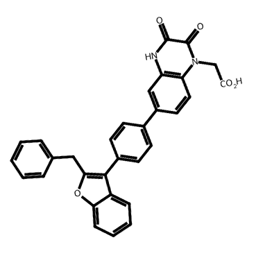 O=C(O)Cn1c(=O)c(=O)[nH]c2cc(-c3ccc(-c4c(Cc5ccccc5)oc5ccccc45)cc3)ccc21